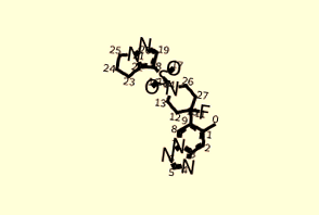 Cc1cc2ncnn2cc1C1(F)CCN(S(=O)(=O)c2cnn3c2CCC3)CC1